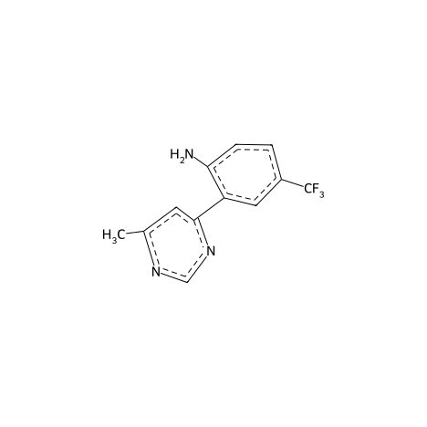 Cc1cc(-c2cc(C(F)(F)F)ccc2N)ncn1